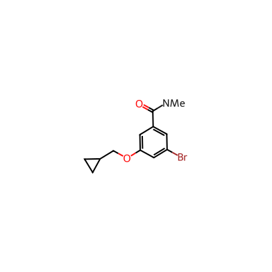 CNC(=O)c1cc(Br)cc(OCC2CC2)c1